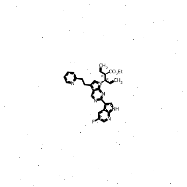 C=C[C@H]([C@@H](C=C)C(=O)OCC)n1cc(CCc2ccccn2)c2cnc(-c3c[nH]c4ncc(F)cc34)nc21